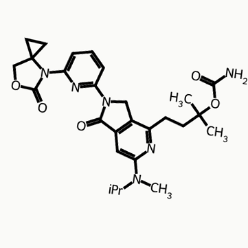 CC(C)N(C)c1cc2c(c(CCC(C)(C)OC(N)=O)n1)CN(c1cccc(N3C(=O)OCC34CC4)n1)C2=O